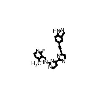 Cc1ccnc(F)c1CNc1nccc(-c2nccc(C#Cc3ccc4[nH]ncc4c3)n2)n1